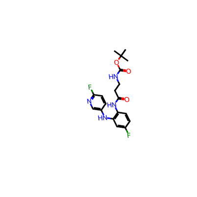 CC(C)(C)OC(=O)NCCC(=O)Nc1ccc(F)cc1Nc1ccc(F)nc1